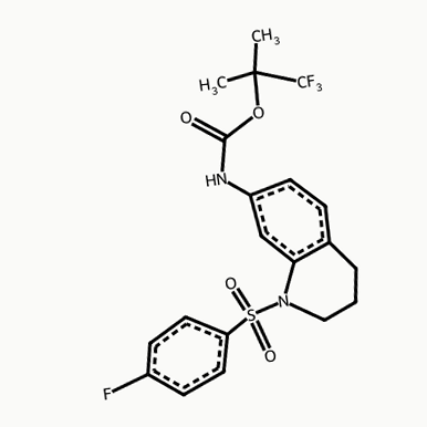 CC(C)(OC(=O)Nc1ccc2c(c1)N(S(=O)(=O)c1ccc(F)cc1)CCC2)C(F)(F)F